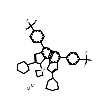 FC(F)(F)c1ccc(-c2cccc3c2C=C(C2CCCCC2)[CH]3[Ti+2]2([CH]3C(C4CCCCC4)=Cc4c(-c5ccc(C(F)(F)F)cc5)cccc43)[CH2]C[CH2]2)cc1.[Cl-].[Cl-]